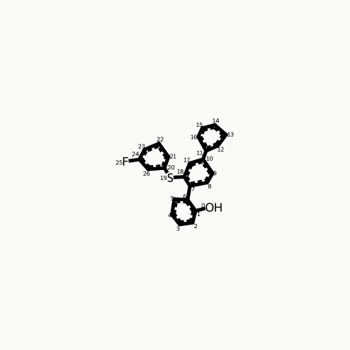 Oc1ccccc1-c1ccc(-c2ccccc2)cc1Sc1cccc(F)c1